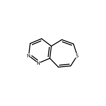 C1=Cc2ccnnc2C=CS1